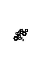 CCOC(=NC(=O)c1ccccc1C(F)(F)F)c1cccc(Cl)c1Cl